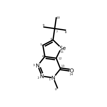 Cn1nnc2cc(C(C)(C)C)[se]c2c1=O